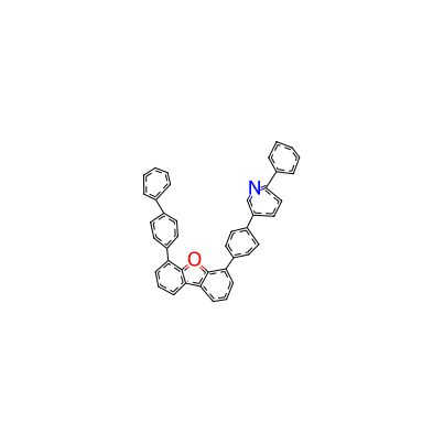 c1ccc(-c2ccc(-c3cccc4c3oc3c(-c5ccc(-c6ccc(-c7ccccc7)nc6)cc5)cccc34)cc2)cc1